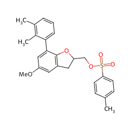 COc1cc2c(c(-c3cccc(C)c3C)c1)OC(COS(=O)(=O)c1ccc(C)cc1)C2